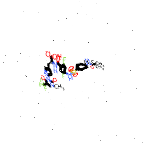 Cn1cc(C(F)(F)F)c(=O)n(-c2ccc(C[C@H](NC(=O)c3cc(F)c(NS(=O)(=O)c4ccc(NC(=O)C(C)(C)C)cc4)cc3F)C(=O)O)cn2)c1=O